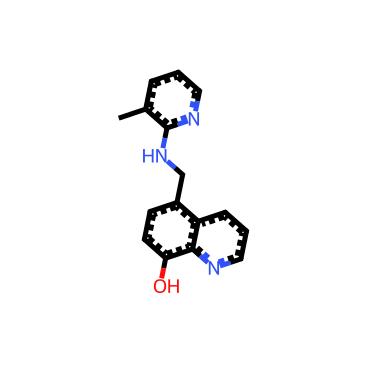 Cc1cccnc1NCc1ccc(O)c2ncccc12